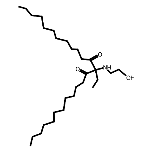 CCCCCCCCCCCC(=O)C(CC)(NCCO)C(=O)CCCCCCCCCCC